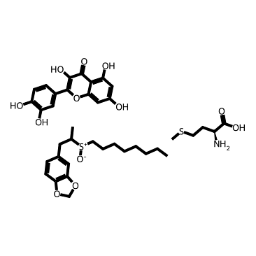 CCCCCCCC[S+]([O-])C(C)Cc1ccc2c(c1)OCO2.CSCC[C@H](N)C(=O)O.O=c1c(O)c(-c2ccc(O)c(O)c2)oc2cc(O)cc(O)c12